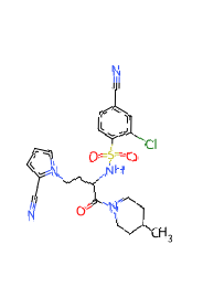 CC1CCN(C(=O)C(CCn2cccc2C#N)NS(=O)(=O)c2ccc(C#N)cc2Cl)CC1